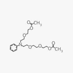 CC(=O)OCCOCCOCCN(CCOCCOC(C)=O)c1ccccc1